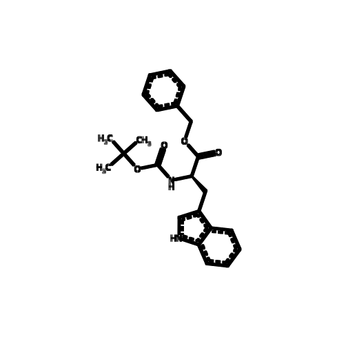 CC(C)(C)OC(=O)N[C@H](Cc1c[nH]c2ccccc12)C(=O)OCc1ccccc1